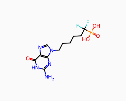 Nc1nc2c(ncn2CCCCCC(F)(F)P(=O)(O)O)c(=O)[nH]1